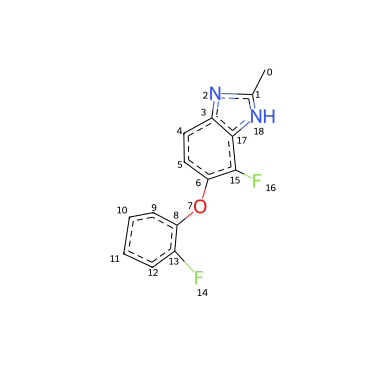 Cc1nc2ccc(Oc3ccccc3F)c(F)c2[nH]1